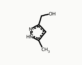 Cc1cc(CO)n[nH]1